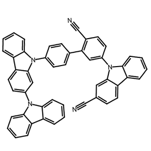 N#Cc1ccc2c3ccccc3n(-c3ccc(C#N)c(-c4ccc(-n5c6ccccc6c6ccc(-n7c8ccccc8c8ccccc87)cc65)cc4)c3)c2c1